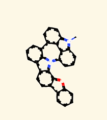 Cn1c2cccc3c4cccc5c6ccc7c8ccccc8oc7c6n(c6cccc1c6c32)c45